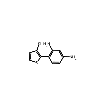 Nc1ccc(-c2sccc2Cl)c(N)c1